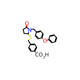 O=C(O)c1ccc(CSC2CCC(=O)N2Cc2ccc(Oc3ccccc3)cc2)cc1